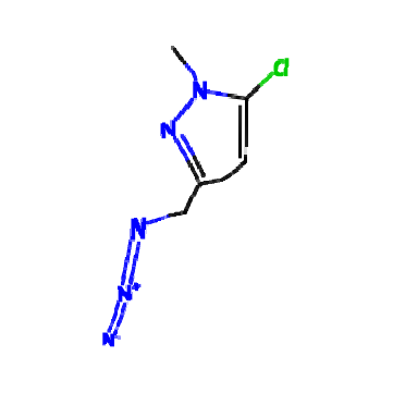 Cn1nc(CN=[N+]=[N-])cc1Cl